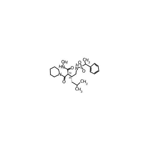 CC(C)C[C@@H](CNS(=O)(=O)C(C)c1ccccc1)[C@H](C(=O)NO)C(=O)N1CCCCC1